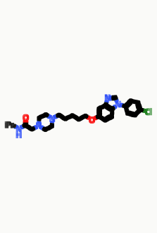 CC(C)NC(=O)CN1CCN(CCCCCOc2ccc3c(c2)ncn3-c2ccc(Cl)cc2)CC1